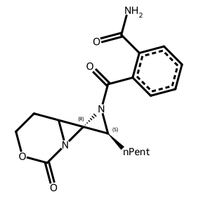 CCCCC[C@@H]1N(C(=O)c2ccccc2C(N)=O)[C@]12C1CCOC(=O)N12